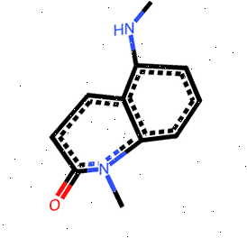 CNc1cccc2c1ccc(=O)n2C